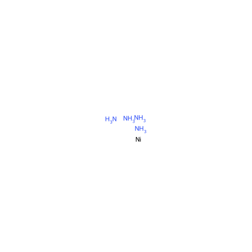 N.N.N.N.[Ni]